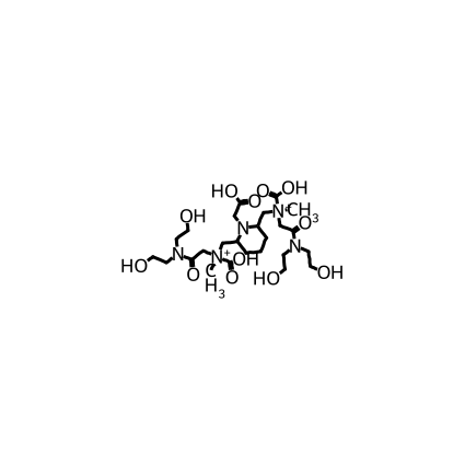 C[N+](CC(=O)N(CCO)CCO)(CC1CCCC(C[N+](C)(CC(=O)N(CCO)CCO)C(=O)O)N1CC(=O)O)C(=O)O